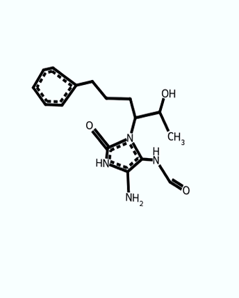 CC(O)C(CCCc1ccccc1)n1c(NC=O)c(N)[nH]c1=O